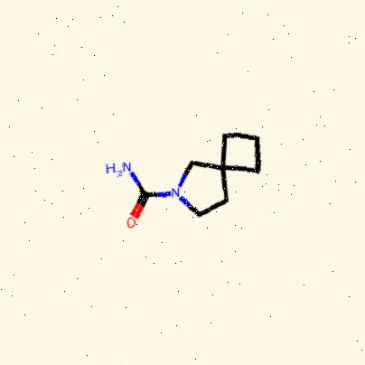 NC(=O)N1CCC2(CCC2)C1